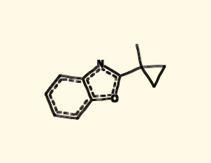 CC1(c2nc3ccccc3o2)CC1